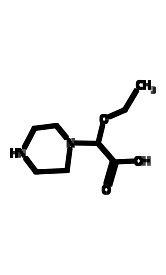 CCOC(C(=O)O)N1CCNCC1